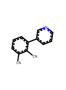 N#Cc1cccc(-c2cc[c]nc2)c1C#N